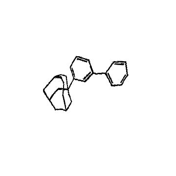 [c]1ccccc1-c1cccc(C23CC4CC(CC(C4)C2)C3)c1